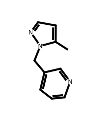 Cc1ccnn1Cc1cccnc1